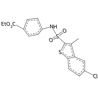 CCOC(=O)c1ccc(NS(=O)(=O)c2sc3ccc(Cl)cc3c2C)cc1